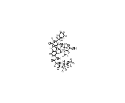 C/C(=C\[C@H](C(C)C)N(C)C(=O)C(NC(=O)[C@@H](N(C)C(=O)OCc1ccc(NC(=O)[C@H](C)NC(=O)C(NC(=O)OC(C)(C)C)C(C)C)cc1)C(C)(C)c1ccccc1)C(C)(C)C)C(=O)O